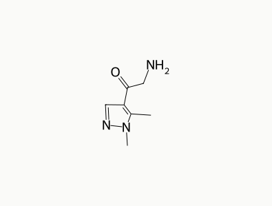 Cc1c(C(=O)CN)cnn1C